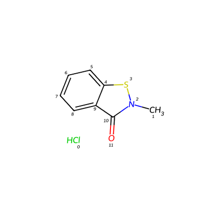 Cl.Cn1sc2ccccc2c1=O